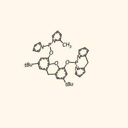 Cc1cccn1P(Oc1cc(C(C)(C)C)cc2c1Oc1c(cc(C(C)(C)C)cc1OP1n3cccc3Cc3cccn31)C2)n1cccc1